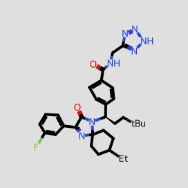 CCC1CCC2(CC1)N=C(c1cccc(F)c1)C(=O)N2[C@H](CCC(C)(C)C)c1ccc(C(=O)NCc2nn[nH]n2)cc1